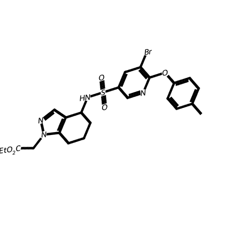 CCOC(=O)Cn1ncc2c1CCCC2NS(=O)(=O)c1cnc(Oc2ccc(C)cc2)c(Br)c1